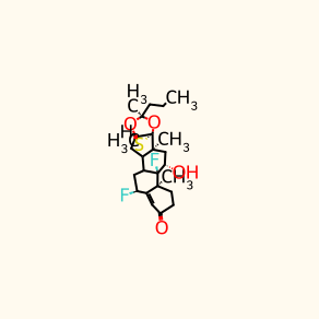 CCC[C@]1(C)O[C@@H]2CC3C4C[C@H](F)C5=CC(=O)CC[C@]5(C)[C@@]4(F)[C@@H](O)C[C@]3(C)[C@]2(SC)O1